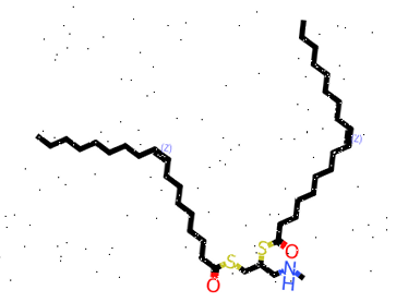 CCCCCCCC/C=C\CCCCCCCC(=O)SCC(CNC)SC(=O)CCCCCCC/C=C\CCCCCCCC